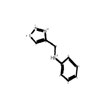 c1ccc(NCc2csnn2)cc1